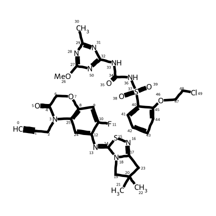 C#CCN1C(=O)COc2cc(F)c(/N=c3\snc4n3CC(C)(C)C4)cc21.COc1nc(C)nc(NC(=O)NS(=O)(=O)c2ccccc2OCCCl)n1